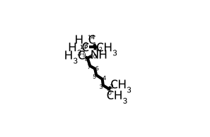 CC(C)CCCCCC(C)NC(C)(C)C